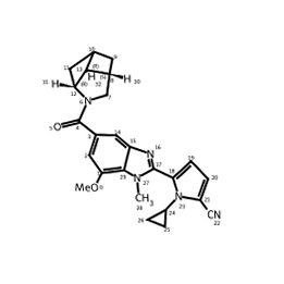 COc1cc(C(=O)N2C[C@H]3CC4C[C@@H]2[C@H]43)cc2nc(-c3ccc(C#N)n3C3CC3)n(C)c12